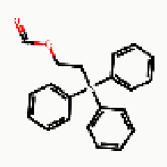 O=[C]OCC[Si](c1ccccc1)(c1ccccc1)c1ccccc1